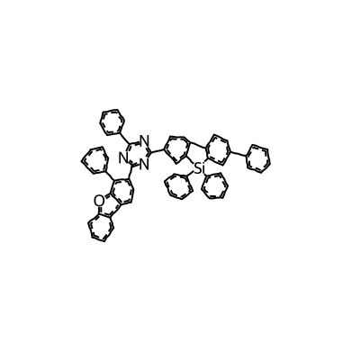 c1ccc(-c2ccc3c(c2)[Si](c2ccccc2)(c2ccccc2)c2cc(-c4nc(-c5ccccc5)nc(-c5ccc6c(oc7ccccc76)c5-c5ccccc5)n4)ccc2-3)cc1